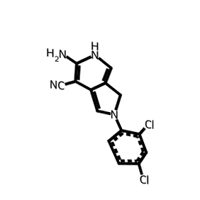 N#CC1=C(N)NC=C2CN(c3ccc(Cl)cc3Cl)C=C21